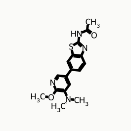 COc1ncc(-c2ccc3nc(NC(C)=O)sc3c2)cc1N(C)C